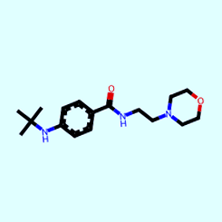 CC(C)(C)Nc1ccc(C(=O)NCCN2CCOCC2)cc1